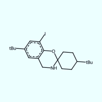 CC(C)(C)c1cc(I)c2c(c1)CNC1(CCC(C(C)(C)C)CC1)O2